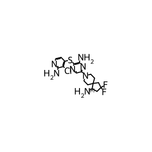 Nc1nc(N2CCC3(CC2)CC(F)(F)C[C@H]3N)cnc1Sc1ccnc(N)c1Cl